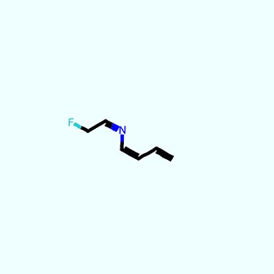 C=C/C=C\N=C/CF